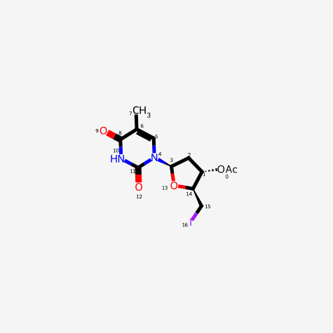 CC(=O)O[C@H]1C[C@H](n2cc(C)c(=O)[nH]c2=O)O[C@@H]1CI